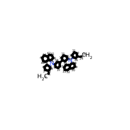 C=Cc1cccc(N(c2cccc(-c3cccc(N(c4cccc(C=C)c4)c4cccc5ccccc45)c3)c2)c2cccc3ccccc23)c1